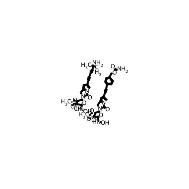 CC(C)(N)C#CC#Cc1cc2n(c1)C(=O)N(CC[C@](C)(C(=O)NO)S(C)(=O)=O)C2.C[C@@](CCN1Cc2cc(C#Cc3ccc(COC(N)=O)cc3)cn2C1=O)(C(=O)NO)S(C)(=O)=O